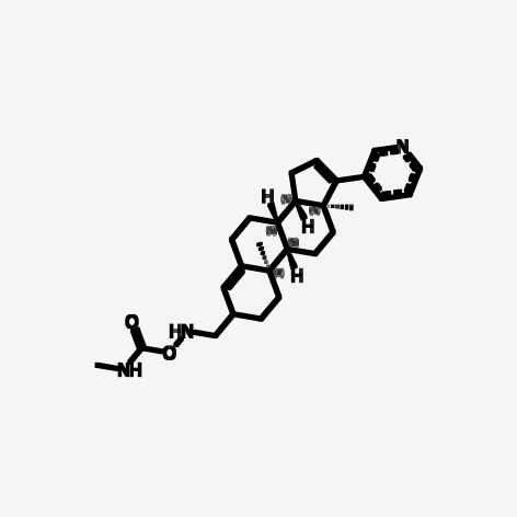 CNC(=O)ONCC1C=C2CC[C@H]3[C@H](CC[C@]4(C)C(c5cccnc5)=CC[C@@H]34)[C@@]2(C)CC1